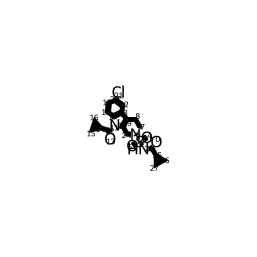 O=C(NS(=O)(=O)N1CCc2c(n(C(=O)C3CC3)c3ccc(Cl)cc23)C1)C1CC1